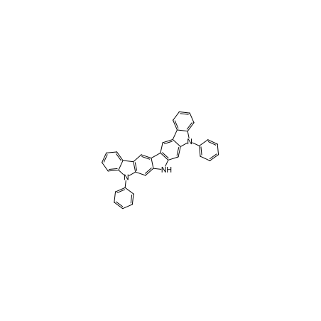 c1ccc(-n2c3ccccc3c3cc4c(cc32)[nH]c2cc3c(cc24)c2ccccc2n3-c2ccccc2)cc1